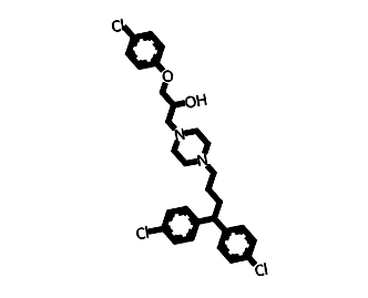 OC(COc1ccc(Cl)cc1)CN1CCN(CCCC(c2ccc(Cl)cc2)c2ccc(Cl)cc2)CC1